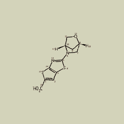 O=C(O)c1cc2sc(N3C[C@@H]4C[C@H]3CO4)nc2s1